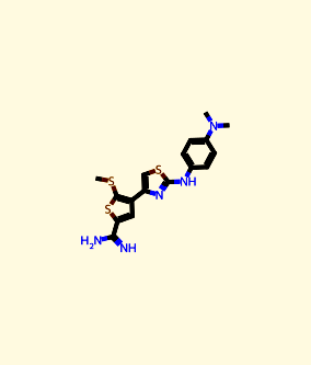 CSc1sc(C(=N)N)cc1-c1csc(Nc2ccc(N(C)C)cc2)n1